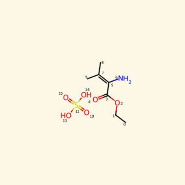 CCOC(=O)C(N)=C(C)C.O=S(=O)(O)O